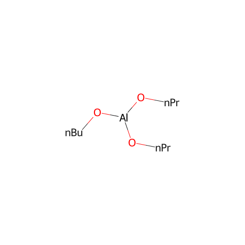 CCCC[O][Al]([O]CCC)[O]CCC